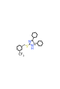 FC(F)(F)c1cccc(CSC2=N[C@@H](c3ccccc3)[C@@H](c3ccccc3)N2)c1